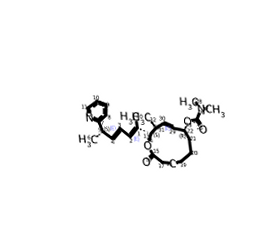 C/C(=C\C=C\[C@H](C)c1ccccn1)[C@H]1OC(=O)CCCCC[C@@H](OC(=O)N(C)C)/C=C/[C@@H]1C